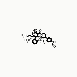 CCCCc1nc(O)c(C(=O)N2CCC(c3ccc(NC=O)cc3)CC2)c(O)c1-c1c(OC)cccc1OC